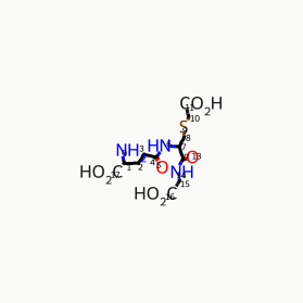 NC(CCC(=O)NC(CSCC(=O)O)C(=O)NCC(=O)O)C(=O)O